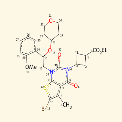 CCOC(=O)C1CC(n2c(=O)c3c(C)c(Br)sc3n(CC(OC3CCOCC3)c3ccccc3OC)c2=O)C1